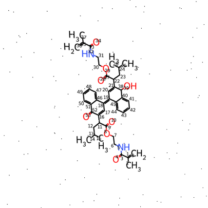 C=C(C)C(=O)NCCOC(=O)C(CC(C)C)C1=C/C(=C2/C=C(C(CC(C)C)C(=O)OCCNC(=O)C(=C)C)C(O)c3ccccc32)c2ccccc2C1=O